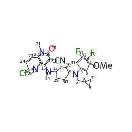 COc1cc(N(CC2CC2)[C@H]2CC[C@H](N(C)c3c(C#N)c(=O)n(C)c4ccc(Cl)nc34)CC2)cc(F)c1F